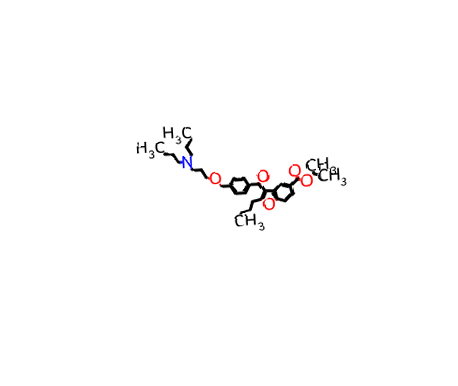 CCCCc1oc2ccc(C(=O)OC(C)C)cc2c1C(=O)c1ccc(COCCCN(CCCC)CCCC)cc1